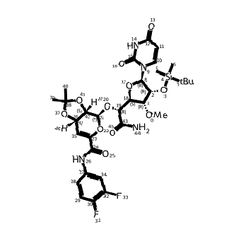 CO[C@H]1[C@@H](O[Si](C)(C)C(C)(C)C)[C@H](n2ccc(=O)[nH]c2=O)O[C@@H]1[C@@H](O[C@H]1OC(C(=O)Nc2ccc(F)c(F)c2)=C[C@@H]2OC(C)(C)O[C@H]12)C(N)=O